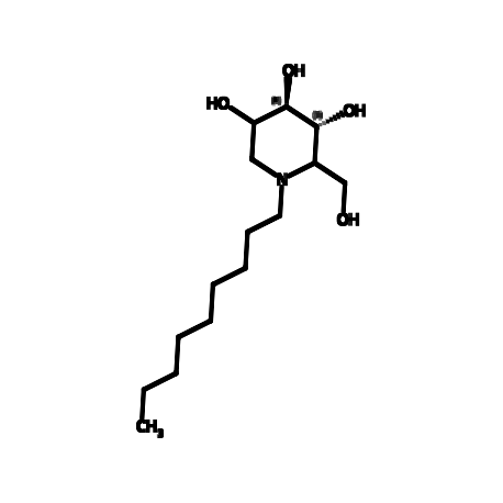 CCCCCCCCCN1CC(O)[C@@H](O)[C@H](O)C1CO